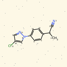 CC(C#N)c1ccc(-n2cc(Cl)cn2)cc1